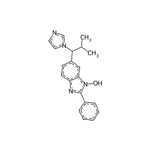 CC(C)C(c1ccc2nc(-c3ccccc3)n(O)c2c1)n1ccnc1